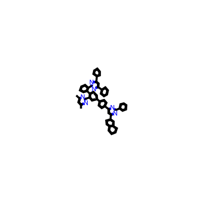 Cc1cc(C)nc(-c2cc(-c3ccc(-c4cc(-c5ccc6ccccc6c5)nc(-c5ccccc5)n4)cc3)ccc2-c2ccccc2-c2nc(-c3ccccc3)cc(-c3ccccc3)n2)n1